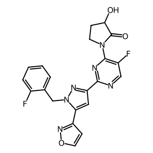 O=C1C(O)CCN1c1nc(-c2cc(-c3ccon3)n(Cc3ccccc3F)n2)ncc1F